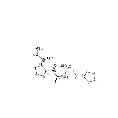 CCOC(=O)[C@H](CSC1CCCC1)N[C@@H](C)C(=O)N1CCC[C@H]1C(=O)OC(C)(C)C